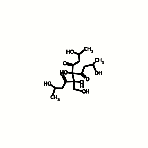 CC(O)CC(=O)C(O)(CO)C(O)(C(=O)CC(C)O)C(=O)CC(C)O